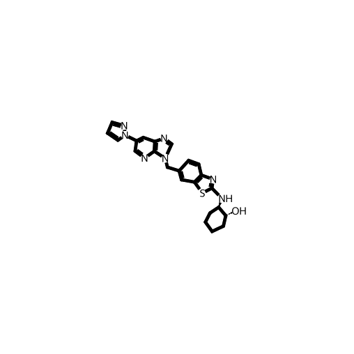 O[C@@H]1CCCC[C@H]1Nc1nc2ccc(Cn3cnc4cc(-n5cccn5)cnc43)cc2s1